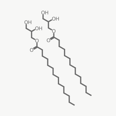 CCCCCCCCCCCCCC(=O)OCC(O)CO.CCCCCCCCCCCCCC(=O)OCC(O)CO